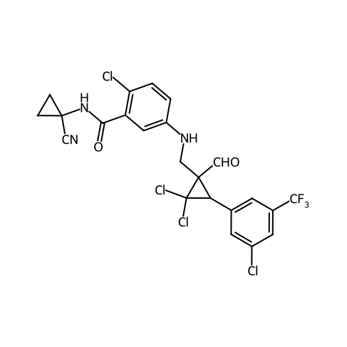 N#CC1(NC(=O)c2cc(NCC3(C=O)C(c4cc(Cl)cc(C(F)(F)F)c4)C3(Cl)Cl)ccc2Cl)CC1